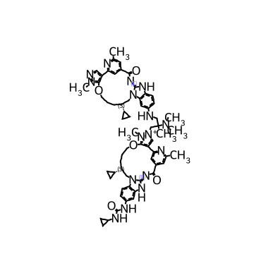 Cc1cc2cc(n1)-c1cnn(C)c1OCCC[C@@H](C1CC1)CN1/C(=N/C2=O)Nc2ccc(NCC(C)(C[n+]3cc4c(n3C)OCCC[C@@H](C3CC3)CN3/C(=N/C(=O)c5cc(C)nc-4c5)Nc4cc(NC(=O)NC5CC5)ccc43)N(C)C)cc21